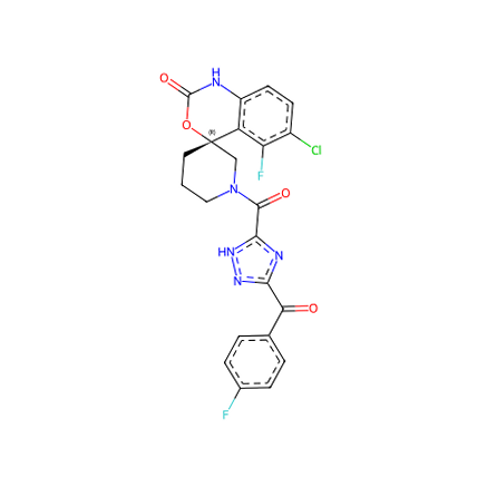 O=C1Nc2ccc(Cl)c(F)c2[C@@]2(CCCN(C(=O)c3nc(C(=O)c4ccc(F)cc4)n[nH]3)C2)O1